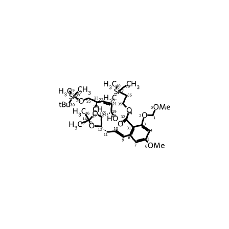 COCOc1cc(OC)cc(/C=C/C[C@@H]2OC(C)(C)O[C@@H]2C(O)/C=C\[C@@H](C)CO[Si](C)(C)C(C)(C)C)c1C(=O)OCC[Si](C)(C)C